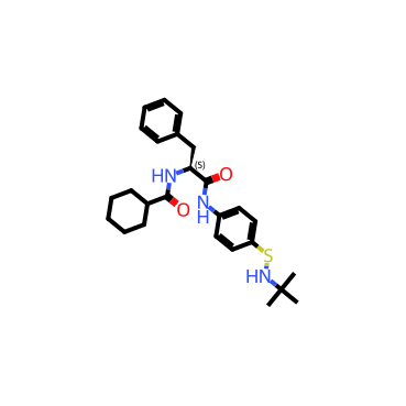 CC(C)(C)NSc1ccc(NC(=O)[C@H](Cc2ccccc2)NC(=O)C2CCCCC2)cc1